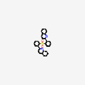 O=S(=O)(c1ccccc1-c1ccc2ccccc2n1)c1ccccc1-c1ccc2ccccc2n1